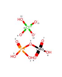 O=P(O)(O)[O][Mo](=[O])(=[O])[OH].[O-][Cl+3]([O-])([O-])O